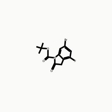 CC(C)(C)OC(=O)N1C(=O)Cc2c(F)cc(Br)cc21